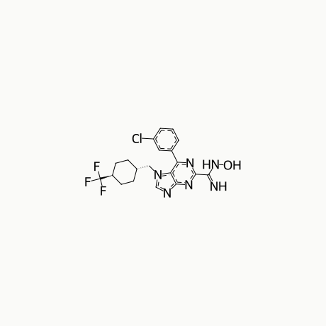 N=C(NO)c1nc(-c2cccc(Cl)c2)c2c(ncn2C[C@H]2CC[C@H](C(F)(F)F)CC2)n1